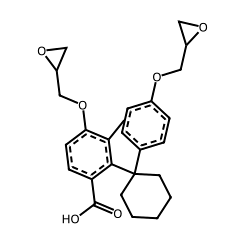 Cc1c(OCC2CO2)ccc(C(=O)O)c1C1(c2ccc(OCC3CO3)cc2)CCCCC1